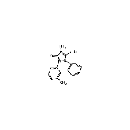 Cc1cccc(-n2c(=O)c(N)c(C(C)(C)C)n2-c2ccccc2)c1